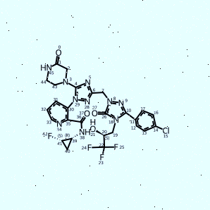 O=C1CN(c2nc(Cn3nc(-c4ccc(Cl)cc4)n(C[C@H](O)C(F)(F)F)c3=O)nn2-c2cccnc2C(=O)N[C@@H]2C[C@@H]2F)CCN1